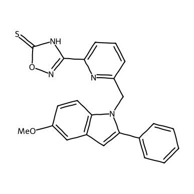 COc1ccc2c(c1)cc(-c1ccccc1)n2Cc1cccc(-c2noc(=S)[nH]2)n1